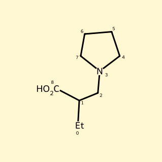 CCC(CN1CCCC1)C(=O)O